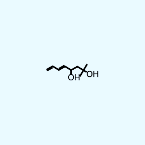 C=CC=CC(O)CC(C)(C)O